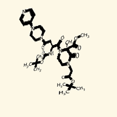 COC(=O)[C@@]1(C)C(=O)N(CC(=O)OC(C)(C)C)CCN1C(=O)[C@H](CC(=O)N1CCN(c2ccncc2)CC1)NC(=O)OC(C)(C)C